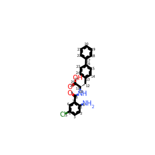 Nc1ccc(Cl)cc1C(=O)N[C@@H](Cc1ccc(-c2ccccc2)cc1)C(=O)O